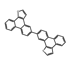 c1ccc2c(c1)c1ccc(-c3ccc4c5ccccc5c5occc5c4c3)cc1c1sccc21